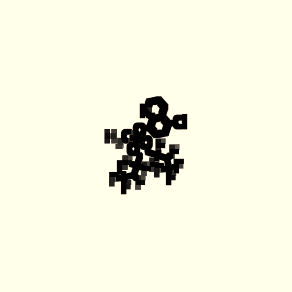 CC(OCC(F)(F)C(F)C(F)(F)F)(OCC(F)(F)C(F)C(F)(F)F)Oc1ccc(Cl)c2cccnc12